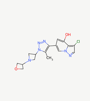 Cc1c(-c2cc(O)c3c(Cl)cnn3c2)nnn1C1CN(C2COC2)C1